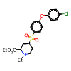 CCOC(=O)C1CC(S(=O)(=O)c2ccc(Oc3ccc(Cl)cc3)cc2)CCN1CC